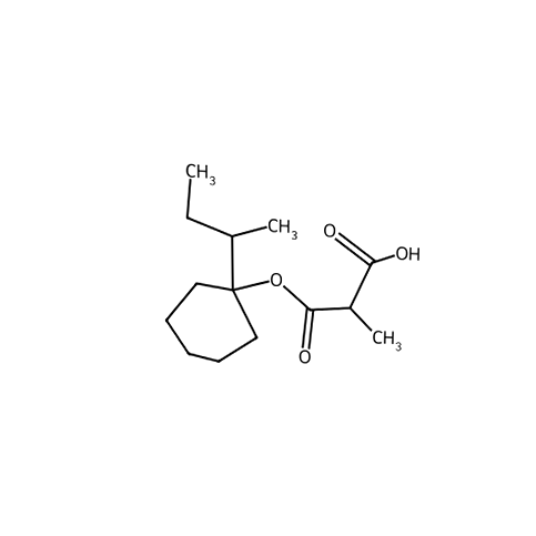 CCC(C)C1(OC(=O)C(C)C(=O)O)CCCCC1